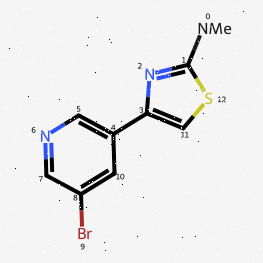 CNc1nc(-c2cncc(Br)c2)cs1